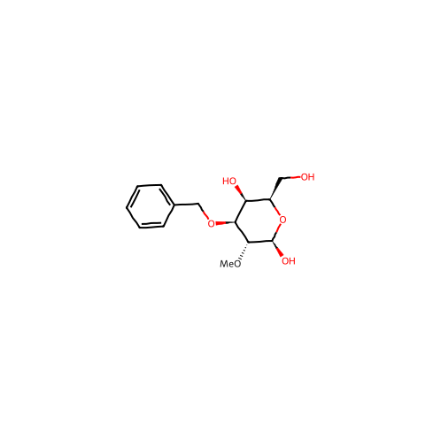 CO[C@@H]1[C@@H](OCc2ccccc2)[C@@H](O)[C@@H](CO)O[C@H]1O